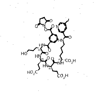 O=C(O)CC[C@@H](NC(=O)[C@@H](CCC(=O)O)NC(=O)[C@@H](CCCO)NC(=O)c1cccc(C(=O)ON2C(=O)CCC2=O)c1)C(=O)N[C@H](CCCCNC(=O)c1cncc(I)c1)C(=O)O